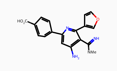 CNC(=N)c1c(N)cc(-c2ccc(C(=O)O)cc2)nc1-c1ccoc1